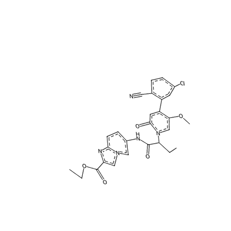 CCOC(=O)c1cn2cc(NC(=O)C(CC)n3cc(OC)c(-c4cc(Cl)ccc4C#N)cc3=O)ccc2n1